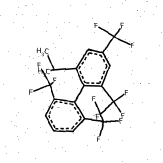 CC(C)c1cc(C(F)(F)F)cc(C(F)(F)F)c1-c1c(C(F)(F)F)cccc1C(F)(F)F